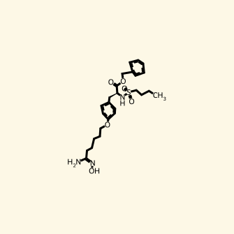 CCCCS(=O)(=O)N[C@@H](Cc1ccc(OCCCCCC(N)=NO)cc1)C(=O)OCc1ccccc1